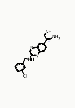 N=C/C(=C\N)c1ccc2nc(NCc3cccc(Cl)c3)cnc2c1